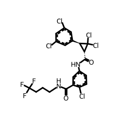 O=C(NCCCC(F)(F)F)c1cc(NC(=O)[C@@H]2[C@@H](c3cc(Cl)cc(Cl)c3)C2(Cl)Cl)ccc1Cl